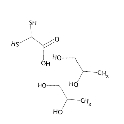 CC(O)CO.CC(O)CO.O=C(O)C(S)S